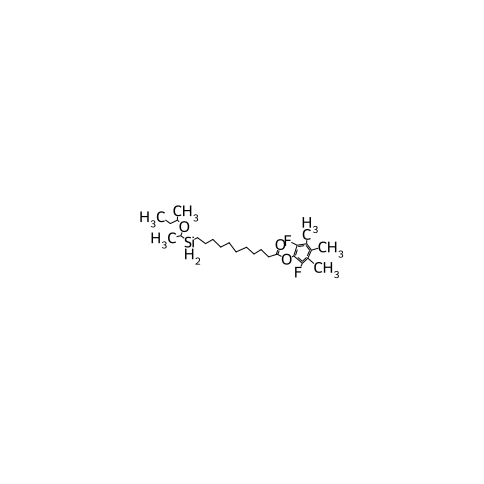 CCC(C)OC(C)[SiH2]CCCCCCCCCCC(=O)Oc1c(F)c(C)c(C)c(C)c1F